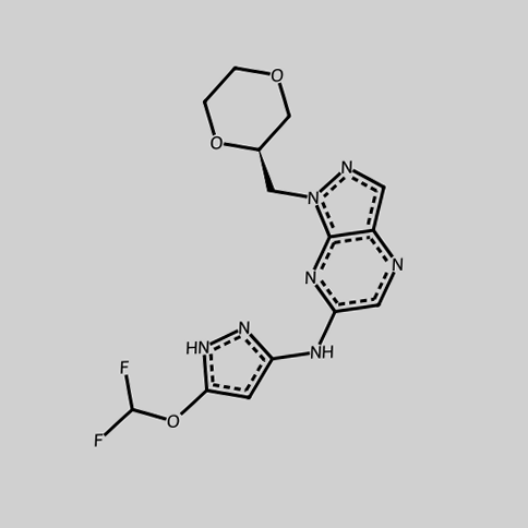 FC(F)Oc1cc(Nc2cnc3cnn(C[C@@H]4COCCO4)c3n2)n[nH]1